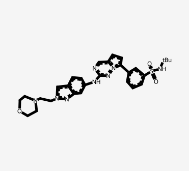 CC(C)(C)NS(=O)(=O)c1cccc(-c2ccc3cnc(Nc4ccc5cn(CCN6CCOCC6)nc5c4)nn23)c1